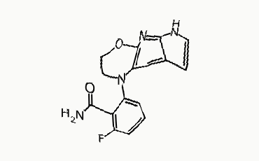 NC(=O)c1c(F)cccc1N1CCOc2nc3[nH]ccc3cc21